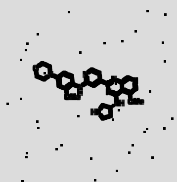 COc1cc(N2CCOCC2)ccc1Nc1cc(-c2nc(N[C@@H]3CCNC3)c3c(OC)cncc3n2)ccn1